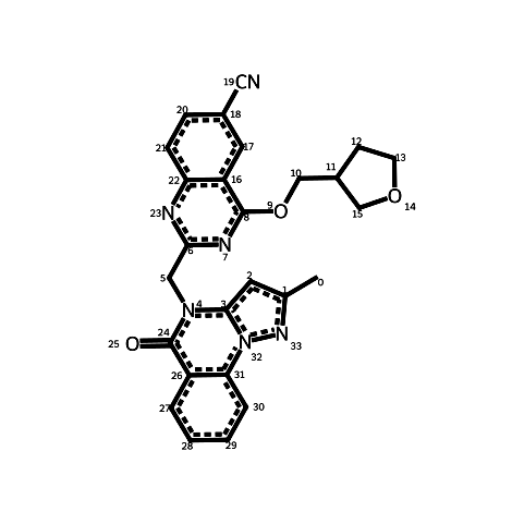 Cc1cc2n(Cc3nc(OCC4CCOC4)c4cc(C#N)ccc4n3)c(=O)c3ccccc3n2n1